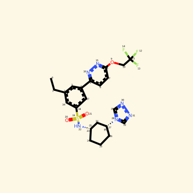 CCc1cc(-c2ccc(OCC(F)(F)F)nn2)cc(S(=O)(=O)N[C@H]2CCC[C@@H](n3cnnc3)C2)c1